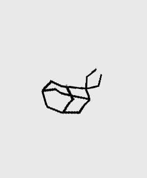 CCC1(CC)[C]2CC3CC(C2)CC1C3